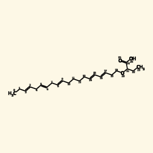 CCC=CCC=CCC=CCCCCC=CC=CCCOC(CC)C(=O)O